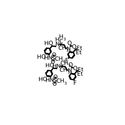 CCC1(CC)OC(=O)N(CCC(C)(C)NCC(O)c2ccc(O)c(NS(C)(=O)=O)c2)c2cc(F)ccc21.CCC1(CC)OC(=O)N(CCC(C)(C)NCC(O)c2ccc(O)c(NS(C)(=O)=O)c2)c2ccc(F)cc21